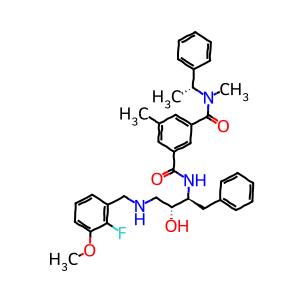 COc1cccc(CNC[C@@H](O)[C@H](Cc2ccccc2)NC(=O)c2cc(C)cc(C(=O)N(C)[C@H](C)c3ccccc3)c2)c1F